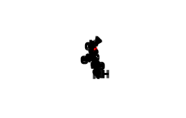 COc1cc(C(=O)N2CC(OC)C[C@@H]2c2cccc(C(=O)N(C)CC3CC3)c2)ccc1-c1cn[nH]c1